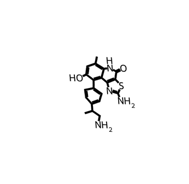 Cc1cc(O)c(-c2ccc(C(C)CN)cc2)c2c1[nH]c(=O)c1sc(N)nc12